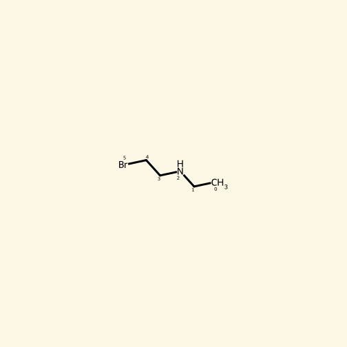 CCNCCBr